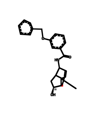 CC1C=C2C3C[C@@](O)(C1)CC3C2NC(=O)c1cccc(OCc2ccccc2)c1